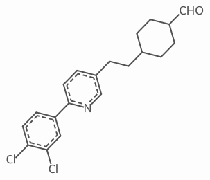 O=CC1CCC(CCc2ccc(-c3ccc(Cl)c(Cl)c3)nc2)CC1